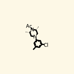 CC(=O)N1[C@H](C)CN(c2cc(C)cc(Cl)c2)C[C@@H]1C